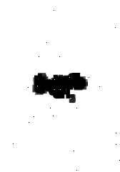 COC1(c2c(C(=O)N3CCC(c4ccccc4C(F)(F)F)C3)cnn2C2CCN(C(=O)Nc3ccccc3F)CC2)CC1